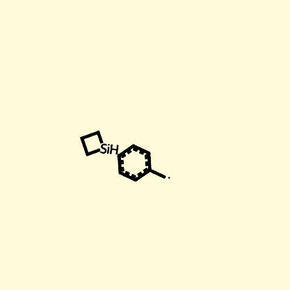 [CH2]c1ccc([SiH]2CCC2)cc1